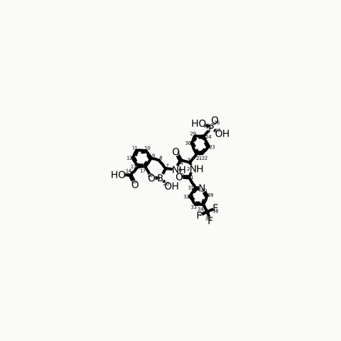 O=C(NC(C(=O)NC1Cc2cccc(C(=O)O)c2OB1O)c1ccc(P(=O)(O)O)cc1)c1ccc(C(F)(F)F)cn1